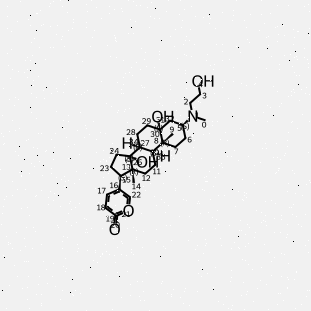 CN(CCO)[C@H]1CC[C@]2(C)[C@H]3CC[C@]4(C)[C@@H](c5ccc(=O)oc5)CC[C@]4(O)[C@@H]3CC[C@]2(O)C1